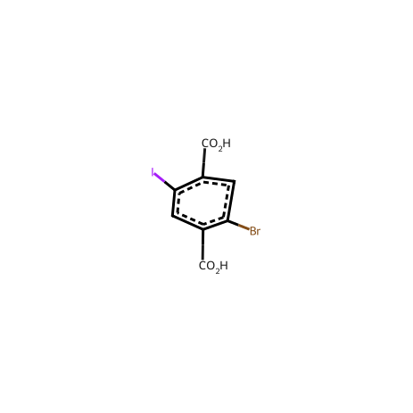 O=C(O)c1cc(I)c(C(=O)O)cc1Br